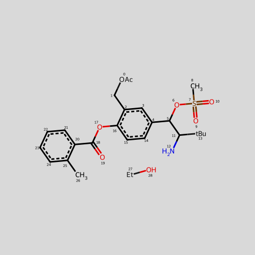 CC(=O)OCc1cc(C(OS(C)(=O)=O)C(N)C(C)(C)C)ccc1OC(=O)c1ccccc1C.CCO